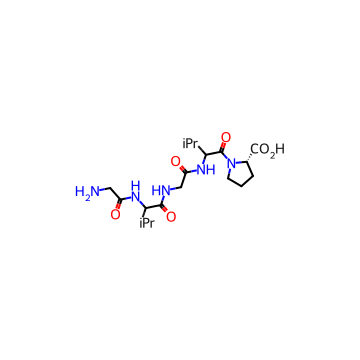 CC(C)C(NC(=O)CN)C(=O)NCC(=O)NC(C(=O)N1CCC[C@H]1C(=O)O)C(C)C